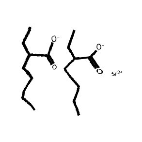 CCCCC(CC)C(=O)[O-].CCCCC(CC)C(=O)[O-].[Sr+2]